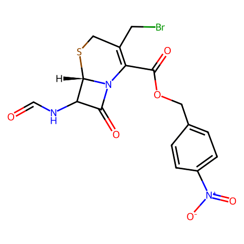 O=CNC1C(=O)N2C(C(=O)OCc3ccc([N+](=O)[O-])cc3)=C(CBr)CS[C@@H]12